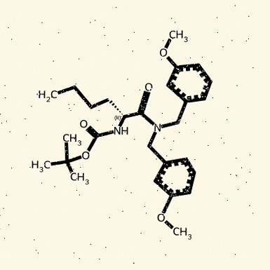 [CH2]CCC[C@@H](NC(=O)OC(C)(C)C)C(=O)N(Cc1cccc(OC)c1)Cc1cccc(OC)c1